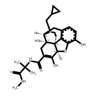 CNC(=O)C(C)(C)NC(=O)C1=C(O)[C@@H]2Oc3c(O)ccc4c3[C@@]23CCN(CC2CC2)[C@H](C4)[C@]3(O)C1